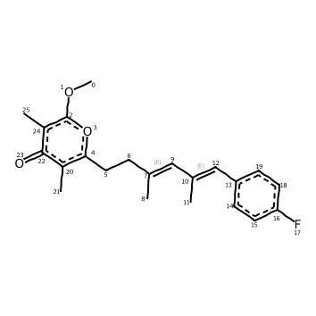 COc1oc(CC/C(C)=C/C(C)=C/c2ccc(F)cc2)c(C)c(=O)c1C